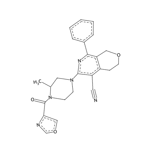 CC1CN(c2nc(-c3ccccc3)c3c(c2C#N)CCOC3)CCN1C(=O)c1cocn1